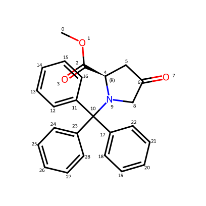 COC(=O)[C@H]1CC(=O)CN1C(c1ccccc1)(c1ccccc1)c1ccccc1